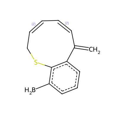 Bc1cccc2c1SC/C=C\C=C/C2=C